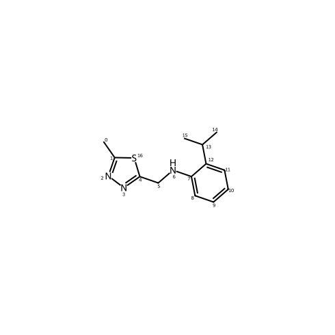 Cc1nnc(CNc2ccccc2C(C)C)s1